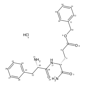 Cl.NC(=O)[C@@H](CCC(=O)OCc1ccccc1)NC(=O)[C@@H](N)Cc1ccccc1